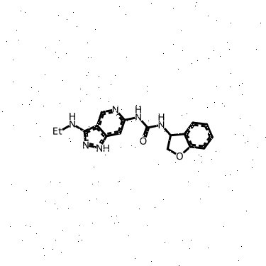 CCNc1n[nH]c2cc(NC(=O)NC3COc4ccccc43)ncc12